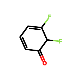 O=C1C=CC=C(F)C1F